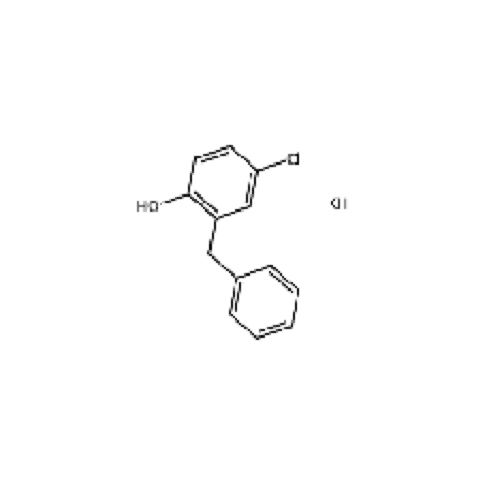 Oc1ccc(Cl)cc1Cc1ccccc1.[KH]